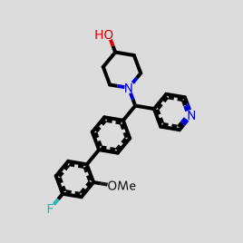 COc1cc(F)ccc1-c1ccc(C(c2ccncc2)N2CCC(O)CC2)cc1